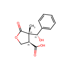 C[C@]1([C@@H](O)c2ccccc2)C(=O)OC[C@@H]1C(=O)O